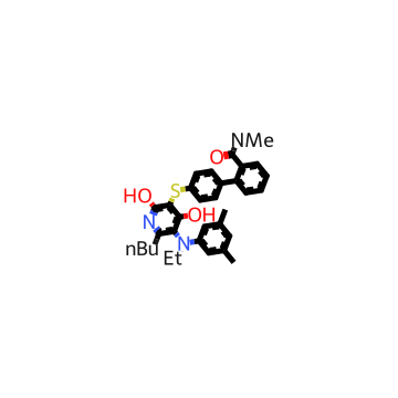 CCCCc1nc(O)c(Sc2ccc(-c3ccccc3C(=O)NC)cc2)c(O)c1N(CC)c1cc(C)cc(C)c1